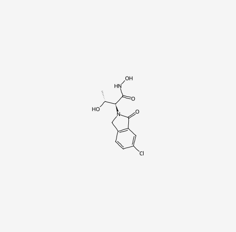 C[C@@H](O)[C@@H](C(=O)NO)N1Cc2ccc(Cl)cc2C1=O